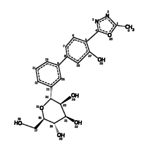 Cc1nnc(-c2ccc(-c3cccc([C@H]4O[C@H](CO)[C@@H](O)[C@H](O)[C@@H]4O)c3)cc2O)o1